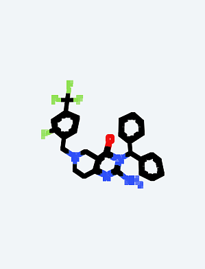 Nc1nc2c(c(=O)n1C(c1ccccc1)c1ccccc1)CN(Cc1ccc(C(F)(F)F)cc1F)CC2